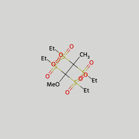 CCS(=O)(=O)C(C)(C(OC)(S(=O)(=O)CC)S(=O)(=O)CC)S(=O)(=O)CC